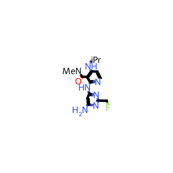 CNC(=O)c1c(NC(C)C)ccnc1Nc1cc(N)nc(CF)n1